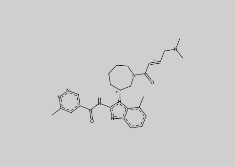 Cc1cc(C(=O)Nc2nc3cccc(C)c3n2[C@@H]2CCCCN(C(=O)/C=C/CN(C)C)C2)cnn1